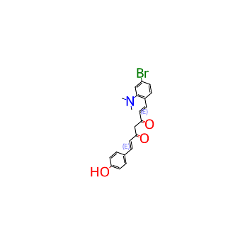 CN(C)c1cc(Br)ccc1/C=C/C(=O)CC(=O)/C=C/c1ccc(O)cc1